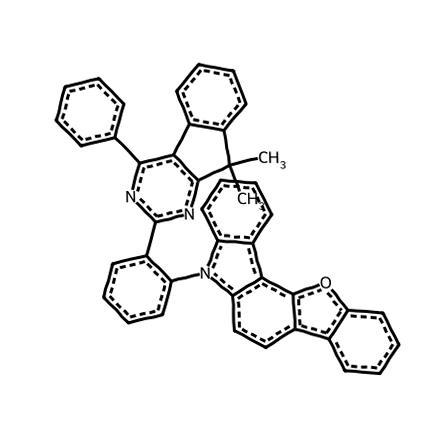 CC1(C)c2ccccc2-c2c(-c3ccccc3)nc(-c3ccccc3-n3c4ccccc4c4c5oc6ccccc6c5ccc43)nc21